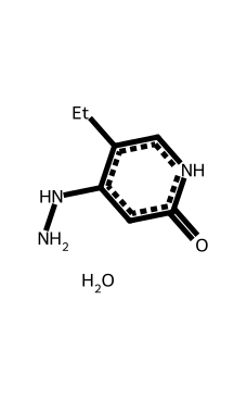 CCc1c[nH]c(=O)cc1NN.O